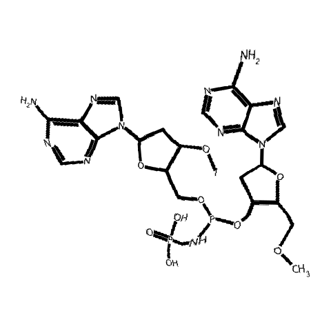 COCC1OC(n2cnc3c(N)ncnc32)CC1OP(NP(=O)(O)O)OCC1OC(n2cnc3c(N)ncnc32)CC1OI